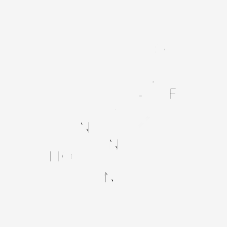 Cc1ncc(O)c(N[C@H](C)c2cccc(C(F)(F)CO)c2)n1